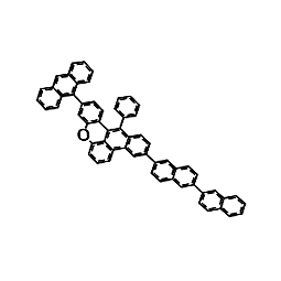 c1ccc(-c2c3c4c(cccc4c4cc(-c5ccc6cc(-c7ccc8ccccc8c7)ccc6c5)ccc24)Oc2cc(-c4c5ccccc5cc5ccccc45)ccc2-3)cc1